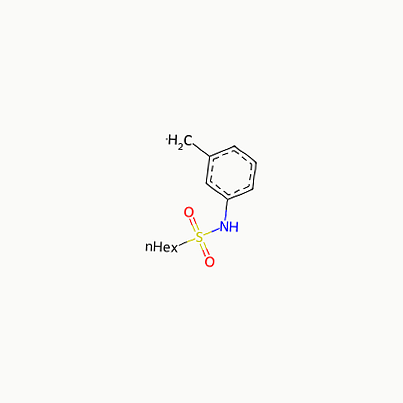 [CH2]c1cccc(NS(=O)(=O)CCCCCC)c1